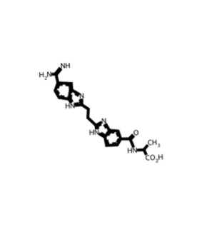 CC(NC(=O)c1ccc2[nH]c(CCc3nc4cc(C(=N)N)ccc4[nH]3)nc2c1)C(=O)O